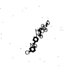 COCCS(=O)(=O)c1ccc(C(=O)NC2CCC(c3nc4cc(Cl)ccc4o3)CC2)o1